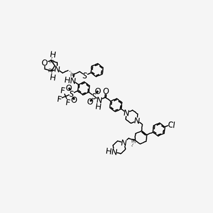 C[C@@]1(CN2CCNCC2)CCC(c2ccc(Cl)cc2)=C(CN2CCN(c3ccc(C(=O)NS(=O)(=O)c4ccc(N[C@H](CCN5C[C@H]6C[C@@H]5CO6)CSc5ccccc5)c(S(=O)(=O)C(F)(F)F)c4)cc3)CC2)C1